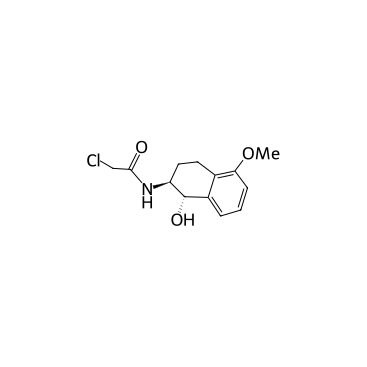 COc1cccc2c1CC[C@H](NC(=O)CCl)[C@H]2O